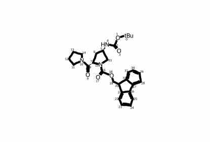 CC(C)(C)OC(=O)N[C@H]1C[C@@H](C(=O)N2CCCC2)N(C(=O)OCC2c3ccccc3-c3ccccc32)C1